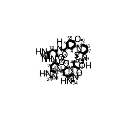 COc1ccc(C(=O)NC(Cc2cnc[nH]2)C(=O)NC(Cc2cnc[nH]2)C(=O)NC(Cc2cnc[nH]2)C(=O)NC(CSSc2ncccc2N=O)C(=O)O)cc1